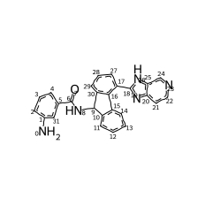 Nc1cccc(C(=O)NC2c3ccccc3-c3c(-c4nc5ccncc5[nH]4)cccc32)c1